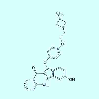 Cc1ccccc1C(=O)c1sc2cc(O)ccc2c1Oc1ccc(OCCN2CC(C)C2)cc1